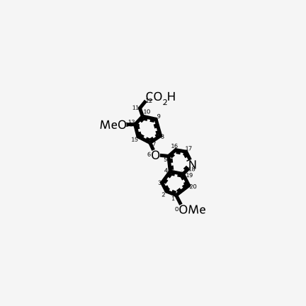 COc1ccc2c(Oc3ccc(CC(=O)O)c(OC)c3)ccnc2c1